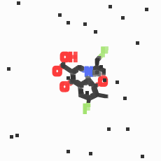 Cc1c(F)cc2c(=O)c(C(=O)O)cn3c2c1OC[C@@H]3CF